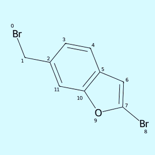 BrCc1ccc2cc(Br)oc2c1